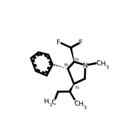 CCC(C)[C@@H]1CN(C)[C@H](C(F)F)[C@H]1c1ccccc1